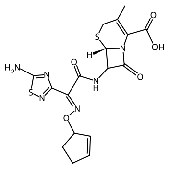 CC1=C(C(=O)O)N2C(=O)C(NC(=O)C(=NOC3C=CCC3)c3nsc(N)n3)[C@@H]2SC1